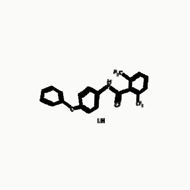 O=C(Pc1ccc(Oc2ccccc2)cc1)c1c(C(F)(F)F)cccc1C(F)(F)F.[LiH]